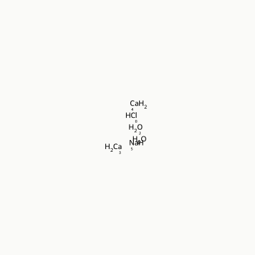 Cl.O.O.[CaH2].[CaH2].[NaH]